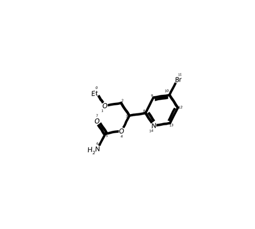 CCOCC(OC(N)=O)c1cc(Br)ccn1